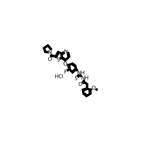 COc1ccccc1CC(=O)NC(=S)Nc1ccc(Oc2ccnc3cc(C(=O)N4CCCC4)sc23)c(F)c1.Cl